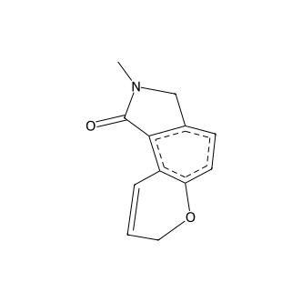 CN1Cc2ccc3c(c2C1=O)C=CCO3